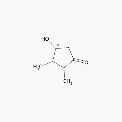 CC1C(=O)C[C@@H](O)C1C